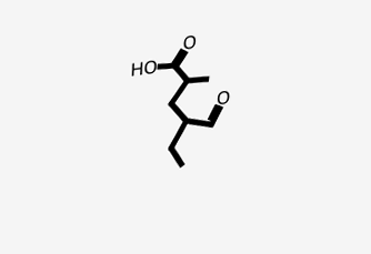 CCC(C=O)CC(C)C(=O)O